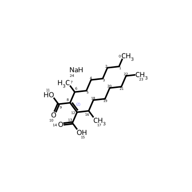 CCCCCCC(C)/C(C(=O)O)=C(/C(=O)O)C(C)CCCCCC.[NaH]